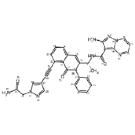 C[C@@H](NC(=O)c1c(N)nn2cccnc12)c1cc2cccc(C#Cc3cnn(CC(N)=O)c3)c2c(=O)n1-c1ccccc1